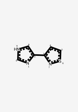 [c]1nc(-c2ccsn2)c[nH]1